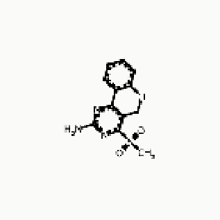 CS(=O)(=O)c1nc(N)nc2c1COc1ccccc1-2